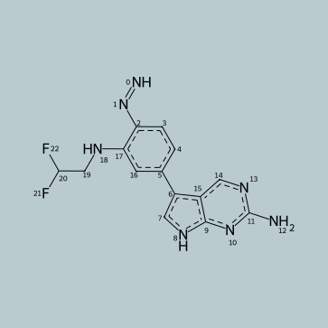 N=Nc1ccc(-c2c[nH]c3nc(N)ncc23)cc1NCC(F)F